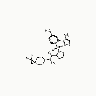 Cc1ccc(S(=O)(=O)N2CCC[C@H]2C(=O)N(C)C2CCC3(CC2)CC3(F)F)c(-c2nscc2C)c1